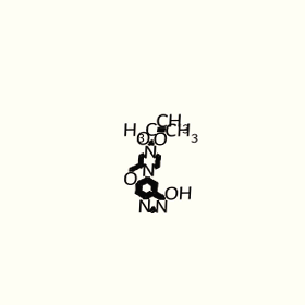 CC(C)(C)OC(=O)N1CCN2c3cc4c(O)ncnc4cc3OCC2C1